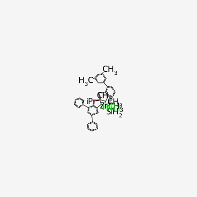 CC1=Cc2c(-c3ccccc3)cc(-c3ccccc3)cc2[CH]1[Zr]([CH3])([CH3])(=[SiH2])[CH]1C(C(C)C)=Cc2c(-c3cc(C)cc(C)c3)cccc21.Cl.Cl